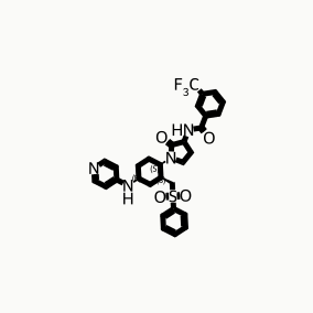 O=C(NC1CCN([C@H]2CC[C@@H](Nc3ccncc3)C[C@@H]2CS(=O)(=O)c2ccccc2)C1=O)c1cccc(C(F)(F)F)c1